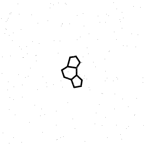 [CH]1CCC2CCC3CCCC3C12